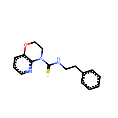 S=C(NCCc1ccccc1)N1CCOc2cccnc21